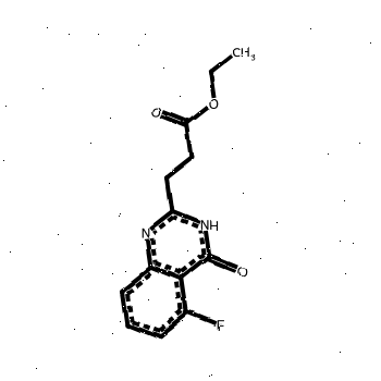 CCOC(=O)CCc1nc2cccc(F)c2c(=O)[nH]1